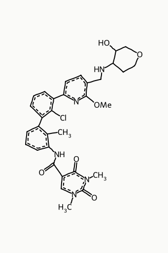 COc1nc(-c2cccc(-c3cccc(NC(=O)c4cn(C)c(=O)n(C)c4=O)c3C)c2Cl)ccc1CNC1CCOCC1O